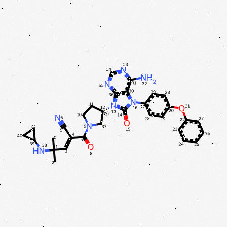 CC(C)(C=C(C#N)C(=O)N1CC[C@H](n2c(=O)n(-c3ccc(Oc4ccccc4)cc3)c3c(N)ncnc32)C1)NC1CC1